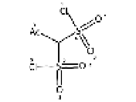 CC(=O)C(S(=O)(=O)Cl)S(=O)(=O)Cl